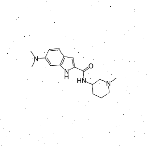 CN1CCCC(NC(=O)c2cc3ccc(N(C)C)cc3[nH]2)C1